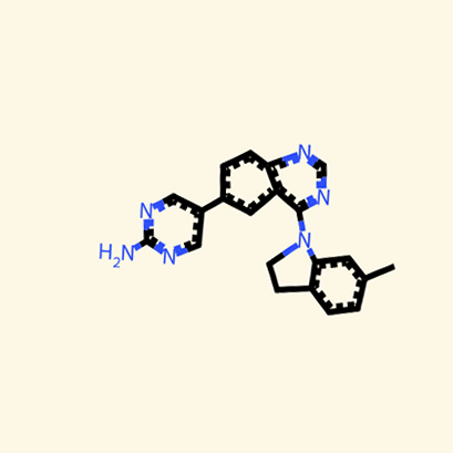 Cc1ccc2c(c1)N(c1ncnc3ccc(-c4cnc(N)nc4)cc13)CC2